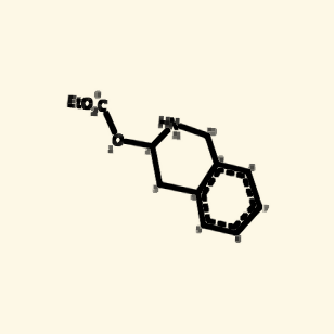 CCOC(=O)OC1Cc2ccccc2CN1